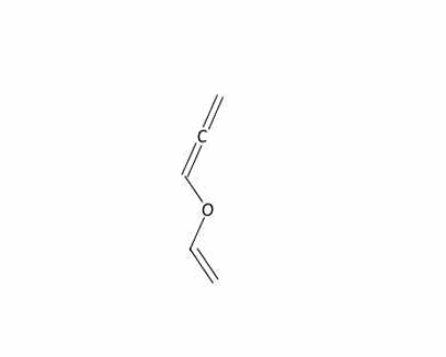 C=C=COC=C